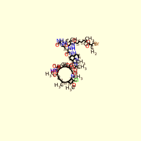 C=C(CBr)C(=O)OC(C)(C)CCCCC(=O)N[C@H](C(=O)N[C@@H](CCCNC(N)=O)C(=O)Nc1ccc(C(=O)N(C)[C@@H](C)C(=O)O[C@H]2CC(=O)N(C)c3cc(cc(OC)c3Cl)C/C(C)=C/C=C/[C@@H](OC)[C@@]3(O)C[C@H](OC(=O)N3)[C@@H](C)[C@@H]3O[C@@]23C)c2ncccc12)C(C)C